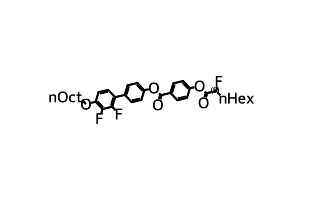 CCCCCCCCOc1ccc(-c2ccc(OC(=O)c3ccc(OC(=O)[C@@H](F)CCCCCC)cc3)cc2)c(F)c1F